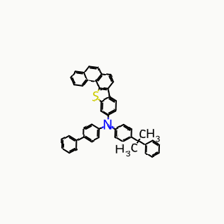 CC(C)(c1ccccc1)c1ccc(N(c2ccc(-c3ccccc3)cc2)c2ccc3c(c2)sc2c3ccc3ccc4ccccc4c32)cc1